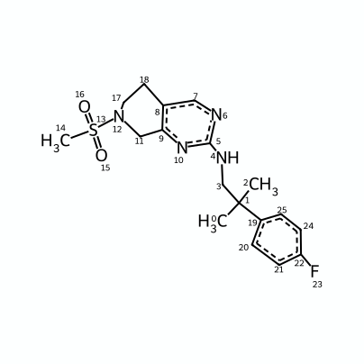 CC(C)(CNc1ncc2c(n1)CN(S(C)(=O)=O)CC2)c1ccc(F)cc1